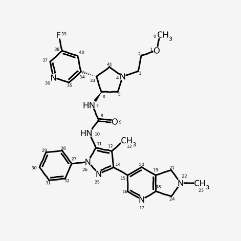 COCCN1C[C@@H](NC(=O)Nc2c(C)c(-c3cnc4c(c3)CN(C)C4)nn2-c2ccccc2)[C@H](c2cncc(F)c2)C1